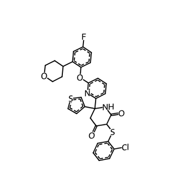 O=C1CC(c2ccsc2)(c2cccc(Oc3ccc(F)cc3C3CCOCC3)n2)NC(=O)C1Sc1ccccc1Cl